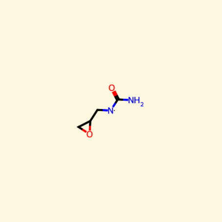 NC(=O)[N]CC1CO1